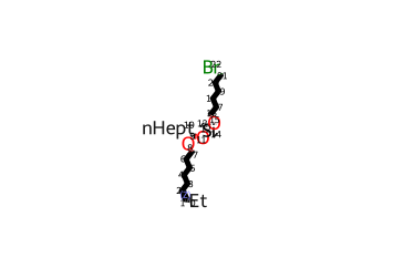 CC/C=C\CCCCCOC(CCCCCCC)O[Si](C)(C)OCCCCCCBr